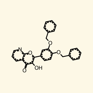 O=c1c(O)c(-c2ccc(OCc3ccccc3)c(OCc3ccccc3)c2)oc2ncccc12